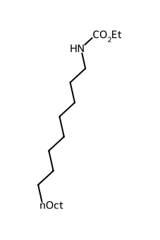 CCCCCCCCCCCCCCCCNC(=O)OCC